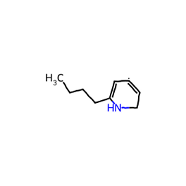 CCCCC1=C[C]=CCN1